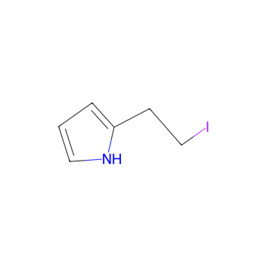 ICCc1ccc[nH]1